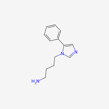 NCCCCn1cncc1-c1ccccc1